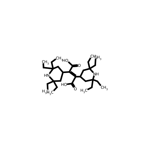 CCC1(CC)CC(C(C(=O)O)=C(C(=O)O)C2CC(CC)(CC)NC(CC)(CC)C2)CC(CC)(CC)N1